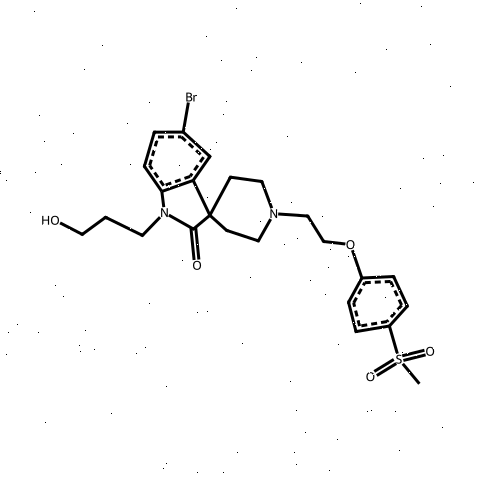 CS(=O)(=O)c1ccc(OCCN2CCC3(CC2)C(=O)N(CCCO)c2ccc(Br)cc23)cc1